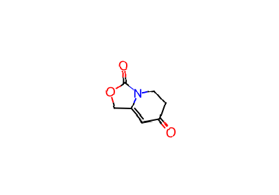 O=C1C=C2COC(=O)N2CC1